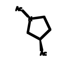 CC(=O)[C@@H]1CCN(C(C)=O)C1